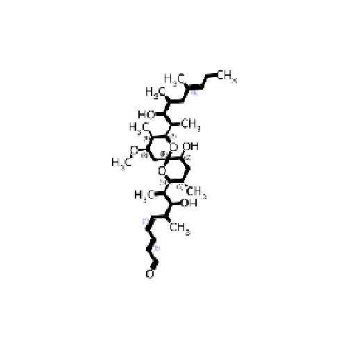 CC/C=C(\C)CC(C)C(O)C(C)[C@H]1O[C@@]2(C[C@@H](OC)[C@H]1C)O[C@H](C(C)C(O)C(C)/C=C\C=C\C=O)[C@@H](C)C[C@@H]2O